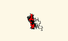 COC(=O)C(C)C(c1ccc2c(c1)OC1(CC2)CCN(C(C)c2cc(C3CC3)ccc2OC(F)(F)F)CC1)C1CC1